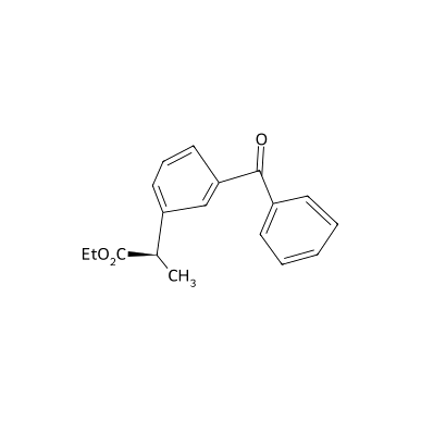 CCOC(=O)[C@H](C)c1cccc(C(=O)c2ccccc2)c1